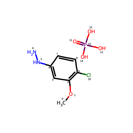 COc1cc(NN)ccc1Cl.O=P(O)(O)O